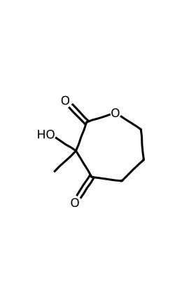 CC1(O)C(=O)CCCOC1=O